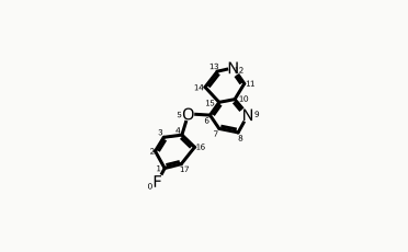 Fc1ccc(Oc2ccnc3cnccc23)cc1